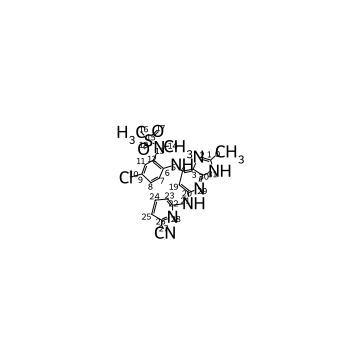 Cc1nc2c(Nc3ccc(Cl)cc3N(C)S(C)(=O)=O)cc(Nc3cccc(C#N)n3)nc2[nH]1